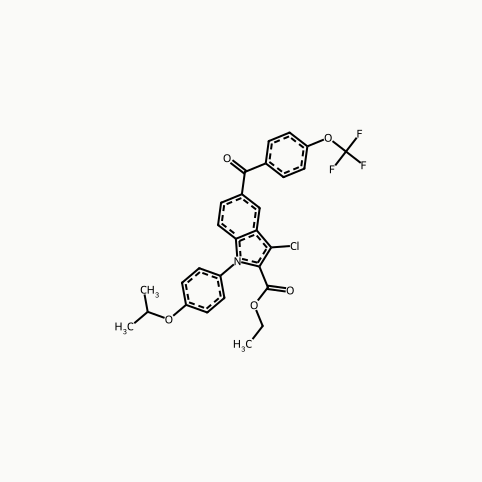 CCOC(=O)c1c(Cl)c2cc(C(=O)c3ccc(OC(F)(F)F)cc3)ccc2n1-c1ccc(OC(C)C)cc1